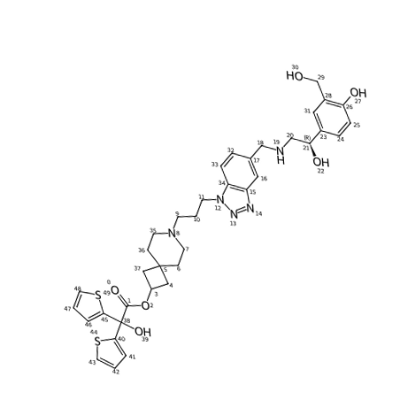 O=C(OC1CC2(CCN(CCCn3nnc4cc(CNC[C@H](O)c5ccc(O)c(CO)c5)ccc43)CC2)C1)C(O)(c1cccs1)c1cccs1